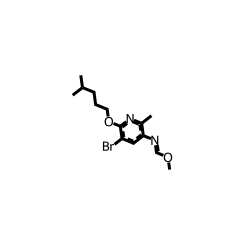 COC=Nc1cc(Br)c(OCCCC(C)C)nc1C